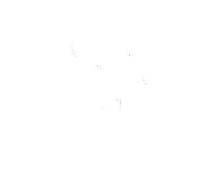 O=C1CC(Cc2c[nH]c3ccccc23)NC(=O)C2CCCN2C(=O)C2CCCN2C(=O)C(Cc2ccccc2)N1